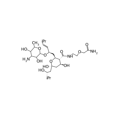 CC(C)/C=C/[C@@H](C[C@@H]1O[C@](O)(C[C@@H](O)C(C)C)C[C@H](O)[C@H]1C(=O)NCCOCC(N)=O)OC1OC(C)C(O)C(N)C1O